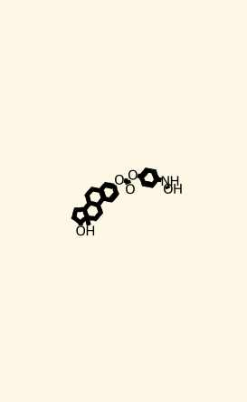 CC12CCC3c4ccc(OC(=O)Oc5ccc(NO)cc5)cc4CCC3C1CCC2O